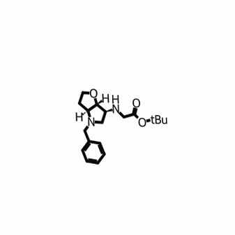 CC(C)(C)OC(=O)CN[C@H]1CN(Cc2ccccc2)[C@H]2CCO[C@H]12